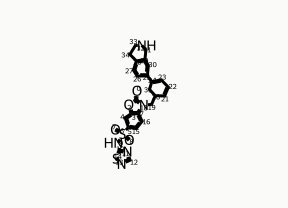 O=c1oc2cc(S(=O)(=O)Nc3ncns3)ccc2n1CC1C=CC=C(c2ccc3c(c2)CNCC3)C1